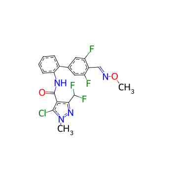 CO/N=C/c1c(F)cc(-c2ccccc2NC(=O)c2c(C(F)F)nn(C)c2Cl)cc1F